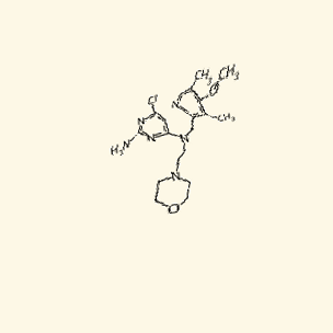 COc1c(C)cnc(CN(CCN2CCOCC2)c2cc(Cl)nc(N)n2)c1C